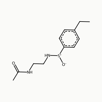 CCc1ccc([S+]([O-])NCCNC(C)=O)cc1